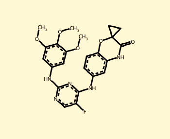 COc1cc(Nc2ncc(F)c(Nc3ccc4c(c3)NC(=O)C3(CC3)O4)n2)cc(OC)c1OC